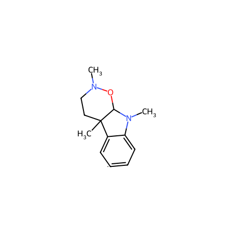 CN1CCC2(C)c3c[c]ccc3N(C)C2O1